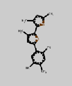 Cc1cc(C)c(-c2sc(-c3cc(C#N)c(C)cc3C#N)cc2C)s1